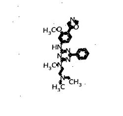 CCN(CC)CCN(C)c1nc(Nc2ccc(-c3cnco3)c(OC)c2)nc(-c2ccccc2)n1